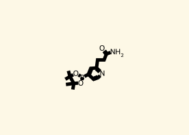 CC1(C)OB(c2ccnc(CCC(N)=O)c2)OC1(C)C